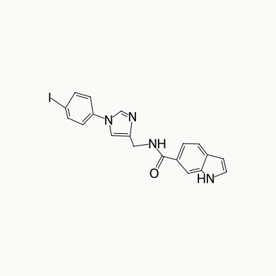 O=C(NCc1cn(-c2ccc(I)cc2)cn1)c1ccc2cc[nH]c2c1